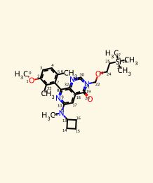 COc1ccc(C)c(-c2nc(N(C)C3CCC3)cc3c(=O)n(COCC[Si](C)(C)C)cnc23)c1C